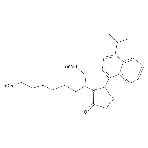 CCCCCCCCCCCCCCCCC(CNC(C)=O)N1C(=O)CSC1c1ccc(N(C)C)c2ccccc12